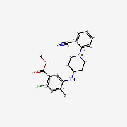 COC(=O)c1cc(NC2CCN(c3ccccc3C#N)CC2)c(C)cc1F